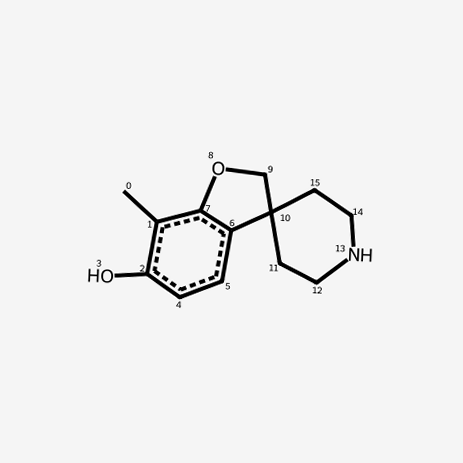 Cc1c(O)ccc2c1OCC21CCNCC1